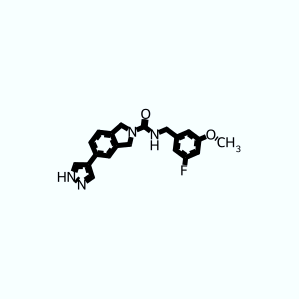 COc1cc(F)cc(CNC(=O)N2Cc3ccc(-c4cn[nH]c4)cc3C2)c1